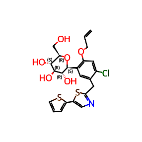 C=CCOc1cc(Cl)c(Cc2ncc(-c3cccs3)s2)cc1[C@@H]1O[C@H](CO)[C@@H](O)[C@H](O)[C@H]1O